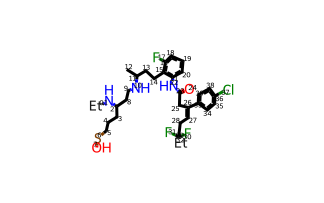 CCNC(CCCSO)CCNC(C)CCc1c(F)cccc1NC(=O)C/C(=C\CC(F)(F)CC)c1ccc(Cl)cc1